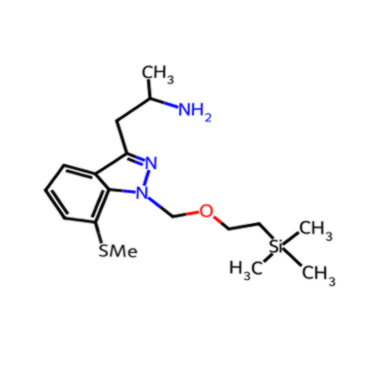 CSc1cccc2c(CC(C)N)nn(COCC[Si](C)(C)C)c12